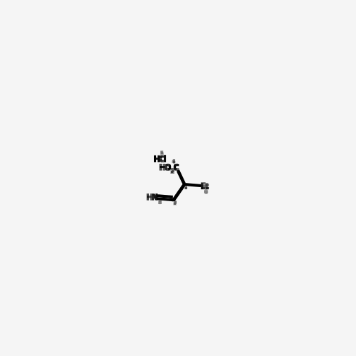 CCC(C=N)C(=O)O.Cl